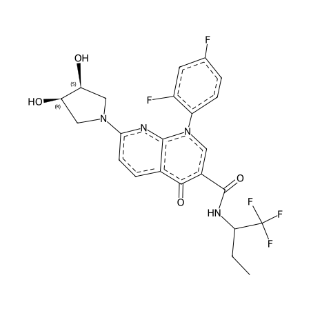 CCC(NC(=O)c1cn(-c2ccc(F)cc2F)c2nc(N3C[C@@H](O)[C@@H](O)C3)ccc2c1=O)C(F)(F)F